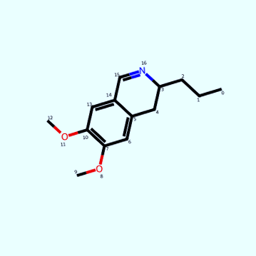 CCCC1Cc2cc(OC)c(OC)cc2C=N1